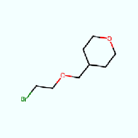 BrCCOCC1CCOCC1